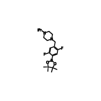 CC(C)N1CCN(Cc2cc(F)c(B3OC(C)(C)C(C)(C)O3)cc2F)CC1